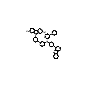 Fc1ccc2c3ccc(F)cc3n(-c3cccc(-c4cccc(N(c5ccc(-c6cccc7c6oc6ccccc67)cc5)c5cccc(-c6ccccc6)c5)c4)c3)c2c1